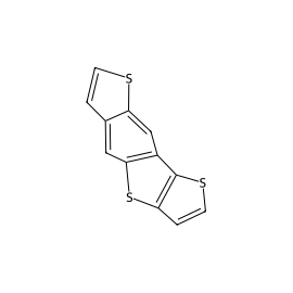 c1cc2cc3sc4ccsc4c3cc2s1